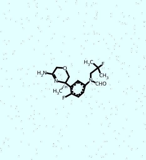 CC(C)(F)CN(C=O)c1ccc(F)c([C@]2(C)COCC(N)=N2)c1